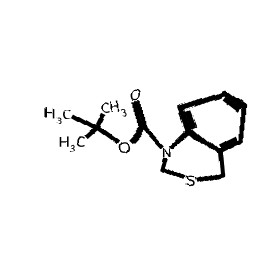 CC(C)(C)OC(=O)N1CSCc2ccccc21